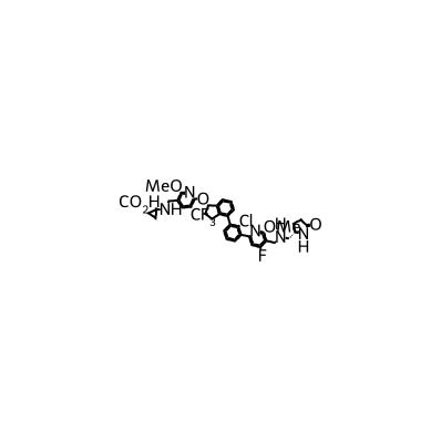 COc1nc(O[C@H]2CCc3c(-c4cccc(-c5cc(F)c(CNC[C@@H]6CCC(=O)N6)c(OC)n5)c4Cl)cccc32)c(C(F)(F)F)cc1CNC1(C(=O)O)CC1